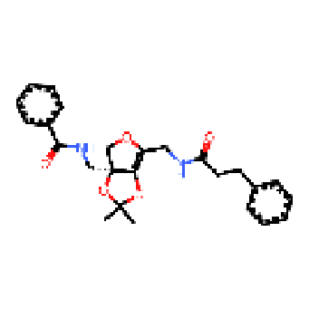 CC1(C)OC2=C(CNC(=O)CCc3ccccc3)OC[C@]2(CNC(=O)c2ccccc2)O1